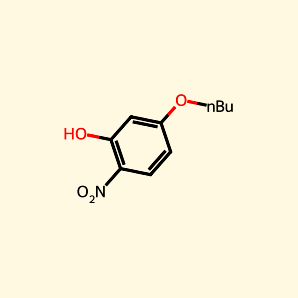 CCCCOc1ccc([N+](=O)[O-])c(O)c1